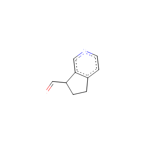 O=CC1CCc2ccncc21